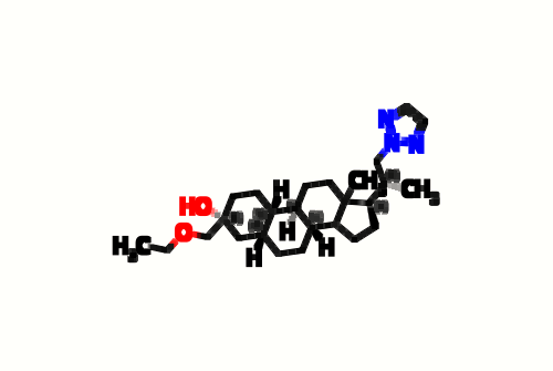 CCOC[C@@]1(O)CC[C@H]2[C@H](CC[C@H]3C4CC[C@H]([C@@H](C)Cn5nccn5)C4(C)CC[C@H]23)C1